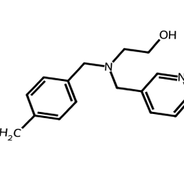 [CH2]c1ccc(CN(CCO)Cc2cccnc2)cc1